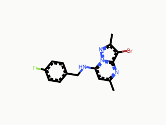 Cc1cc(NCc2ccc(F)cc2)n2nc(C)c(Br)c2n1